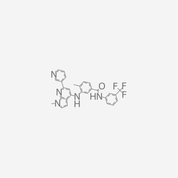 Cc1ccc(C(=O)Nc2cccc(C(F)(F)F)c2)cc1Nc1cc(-c2cccnc2)nc2c1ccn2C